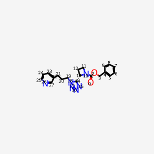 O=C(OCc1ccccc1)N1CC[C@H]1c1nnnn1CCCc1cccnc1